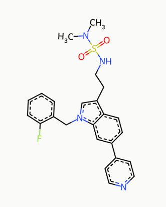 CN(C)S(=O)(=O)NCCc1cn(Cc2ccccc2F)c2cc(-c3ccncc3)ccc12